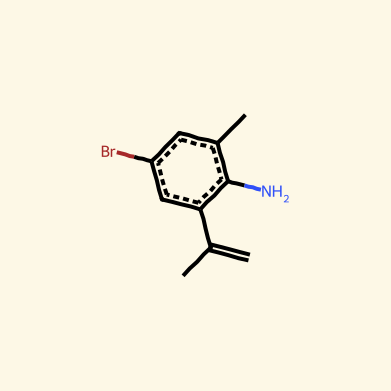 C=C(C)c1cc(Br)cc(C)c1N